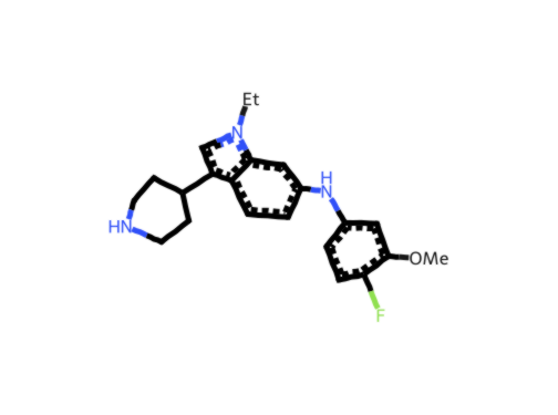 CCn1cc(C2CCNCC2)c2ccc(Nc3ccc(F)c(OC)c3)cc21